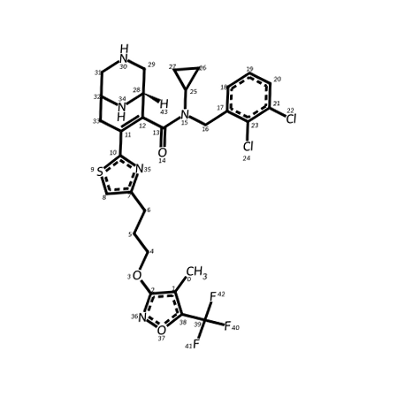 Cc1c(OCCCc2csc(C3=C(C(=O)N(Cc4cccc(Cl)c4Cl)C4CC4)[C@H]4CNCC(C3)N4)n2)noc1C(F)(F)F